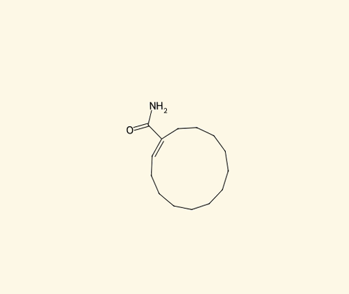 NC(=O)C1=CCCCCCCCCCCC1